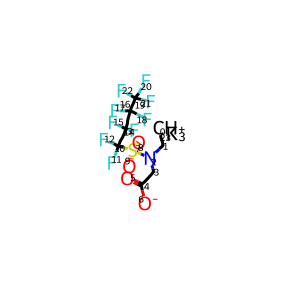 CCN(CC(=O)[O-])S(=O)(=O)C(F)(F)C(F)(F)C(F)(F)C(F)(F)F.[K+]